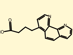 O=C(O)CCCc1ccnc2c1ccc1cccnc12